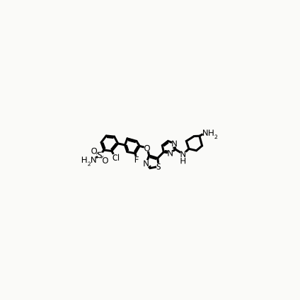 NC1CCC(Nc2nccc(-c3scnc3Oc3ccc(-c4cccc(S(N)(=O)=O)c4Cl)cc3F)n2)CC1